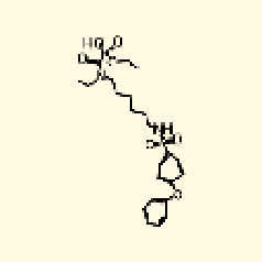 CCOP(=O)(O)C(=O)N(CC)CCCCCCNS(=O)(=O)c1ccc(Oc2ccccc2)cc1